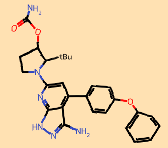 CC(C)(C)C1C(OC(N)=O)CCN1c1cc(-c2ccc(Oc3ccccc3)cc2)c2c(N)n[nH]c2n1